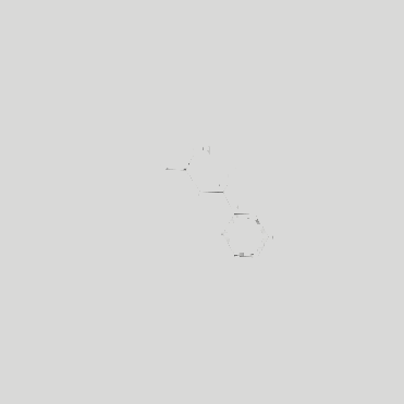 CCOC(=O)C(C#N)CC(C)c1ccccc1